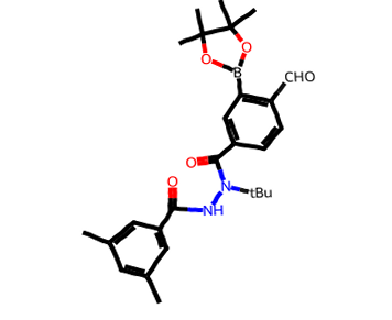 Cc1cc(C)cc(C(=O)NN(C(=O)c2ccc(C=O)c(B3OC(C)(C)C(C)(C)O3)c2)C(C)(C)C)c1